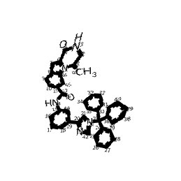 CC1CNC(=O)c2cc3ccc(C(=O)Nc4cccc(-c5cn(C(c6ccccc6)(c6ccccc6)c6ccccc6)cn5)c4)cc3n21